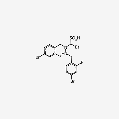 CCC(N(Cc1ccc(Br)cc1F)NCc1ccc(Br)cc1F)S(=O)(=O)O